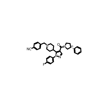 N#Cc1ccc(CN2CCC(c3c(C(=O)N4CC[C@H](c5ccccc5)C4)cnn3-c3ccc(F)cc3)CC2)cc1